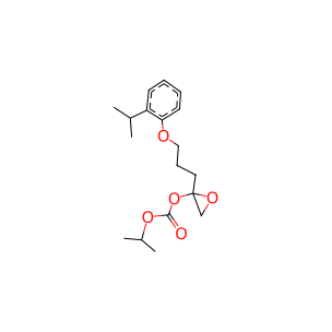 CC(C)OC(=O)OC1(CCCOc2ccccc2C(C)C)CO1